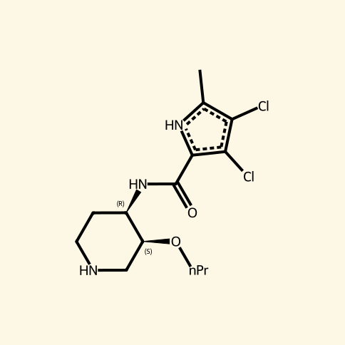 CCCO[C@H]1CNCC[C@H]1NC(=O)c1[nH]c(C)c(Cl)c1Cl